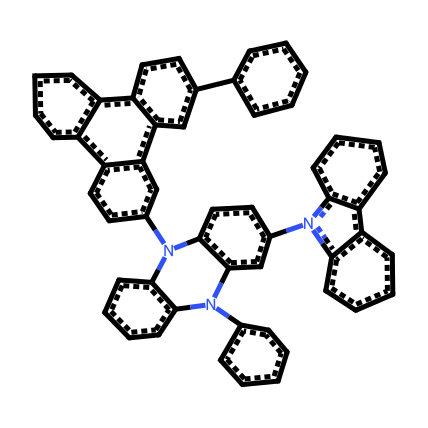 c1ccc(-c2ccc3c4ccccc4c4ccc(N5c6ccccc6N(c6ccccc6)c6cc(-n7c8ccccc8c8ccccc87)ccc65)cc4c3c2)cc1